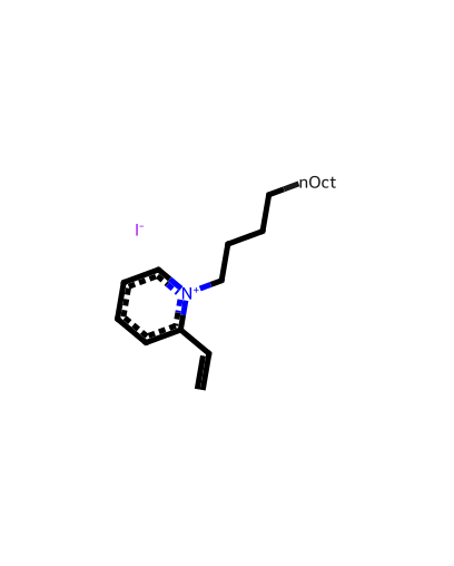 C=Cc1cccc[n+]1CCCCCCCCCCCC.[I-]